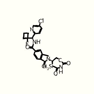 O=C1CC[C@H](N2Cc3cc(C(=O)N[C@H](c4ccc(Cl)cn4)C4(F)CCC4)ccc3C2=O)[SiH2]C(=O)N1